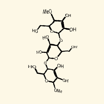 COC1OC(CO)C(OC2OC(CO)C(OC3OC(CO)C(OC)C(O)=C3O)C(O)=C2O)C(O)=C1O